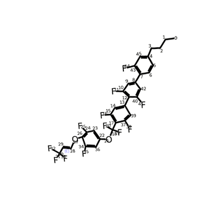 CCCCc1ccc(-c2cc(F)c(-c3cc(F)c(C(F)(F)Oc4cc(F)c(O/C=C/C(F)(F)F)c(F)c4)c(F)c3)c(F)c2)c(F)c1